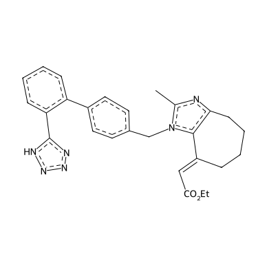 CCOC(=O)C=C1CCCCc2nc(C)n(Cc3ccc(-c4ccccc4-c4nnn[nH]4)cc3)c21